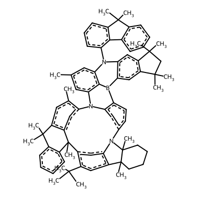 Cc1cc2c3c(c1)N(c1cccc4c1-c1ccccc1C4(C)C)c1cc4c(cc1B3c1ccc3cc1N2c1cc2c(cc1C)C(C)(C)c1ccccc1C2(C)c1cc2c(cc1C(C)(C)C)C1(C)CCCCC1(C)N32)C(C)(C)CC4(C)C